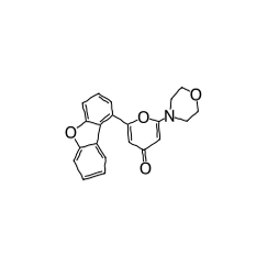 O=c1cc(-c2cccc3oc4ccccc4c23)oc(N2CCOCC2)c1